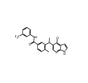 Cc1ccc(C(=O)Nc2cccc(C(F)(F)F)c2)cc1N(C)c1cnc2[nH]ccc2c1Cl